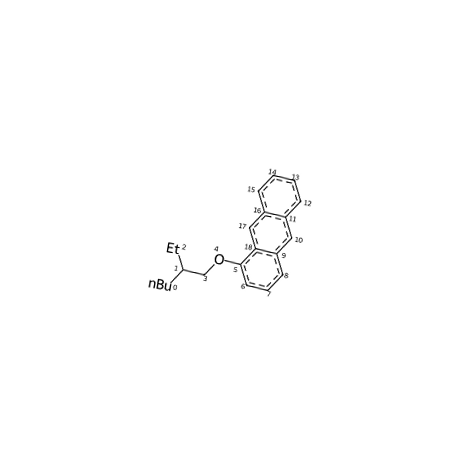 CCCCC(CC)COc1cccc2cc3ccccc3cc12